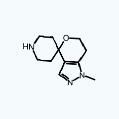 Cn1ncc2c1CCOC21CCNCC1